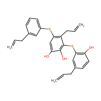 C=CCc1cccc(Sc2cc(O)c(O)c(Sc3cc(CC=C)ccc3O)c2CC=C)c1